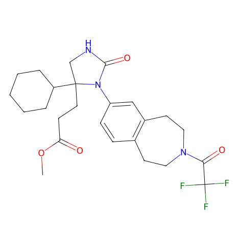 COC(=O)CCC1(C2CCCCC2)CNC(=O)N1c1ccc2c(c1)CCN(C(=O)C(F)(F)F)CC2